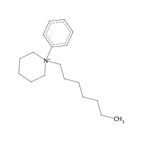 CCCCCCC[N+]1(c2ccccc2)CCCCC1